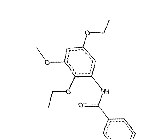 CCOc1cc(NC(=O)c2ccccc2)c(OCC)c(OC)c1